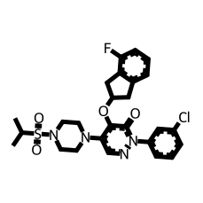 CC(C)S(=O)(=O)N1CCN(c2cnn(-c3cccc(Cl)c3)c(=O)c2OC2Cc3cccc(F)c3C2)CC1